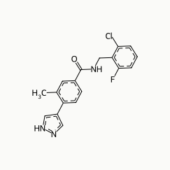 Cc1cc(C(=O)NCc2c(F)cccc2Cl)ccc1-c1cn[nH]c1